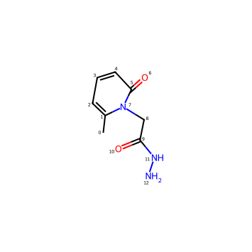 Cc1cccc(=O)n1CC(=O)NN